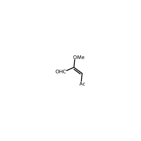 COC(C=O)=CC(C)=O